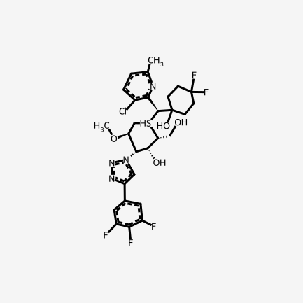 CO[C@H]1C[SH]([C@@H](c2nc(C)ccc2Cl)C2(O)CCC(F)(F)CC2)[C@H](CO)[C@H](O)[C@@H]1n1cc(-c2cc(F)c(F)c(F)c2)nn1